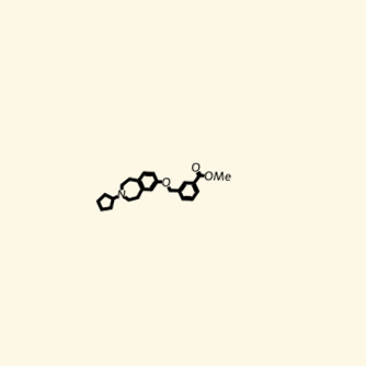 COC(=O)c1cccc(COc2ccc3c(c2)CCN(C2CCCC2)CC3)c1